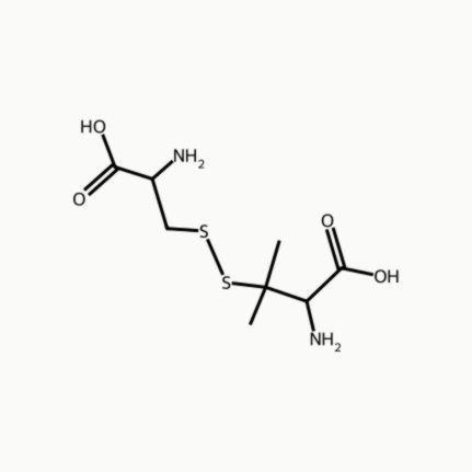 CC(C)(SSCC(N)C(=O)O)C(N)C(=O)O